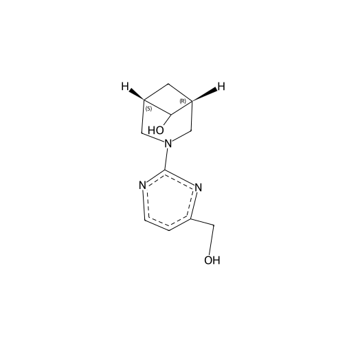 OCc1ccnc(N2C[C@H]3C[C@@H](C2)C3O)n1